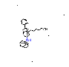 CCCCCCC12CC3CC(NC45CC6CC(CC(C6)C4)C5)(C1)CC(c1ccccc1)(C3)C2